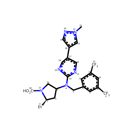 CC[C@@H]1CC(N(Cc2cc(C(F)(F)F)cc(C(F)(F)F)c2)c2ncc(-c3cnn(C)c3)cn2)CN1C(=O)O